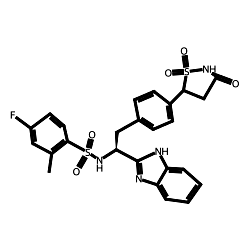 Cc1cc(F)ccc1S(=O)(=O)N[C@@H](Cc1ccc(C2CC(=O)NS2(=O)=O)cc1)c1nc2ccccc2[nH]1